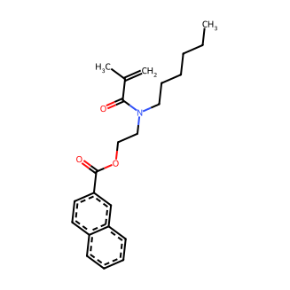 C=C(C)C(=O)N(CCCCCC)CCOC(=O)c1ccc2ccccc2c1